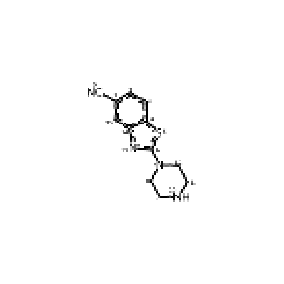 N#Cc1ccc2sc(N3CCNCC3)nc2c1